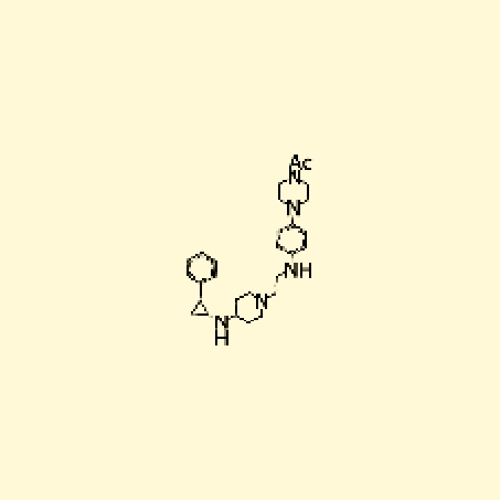 CC(=O)N1CCN(c2ccc(NCCN3CCC(N[C@@H]4C[C@H]4c4ccccc4)CC3)cc2)CC1